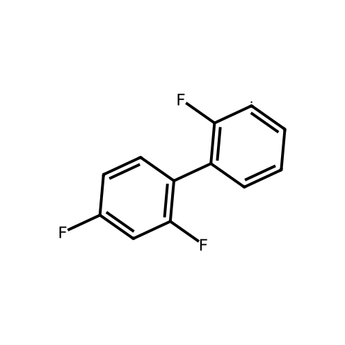 Fc1ccc(-c2ccc[c]c2F)c(F)c1